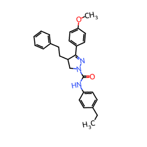 CCc1ccc(NC(=O)N2CC(CCc3ccccc3)C(c3ccc(OC)cc3)=N2)cc1